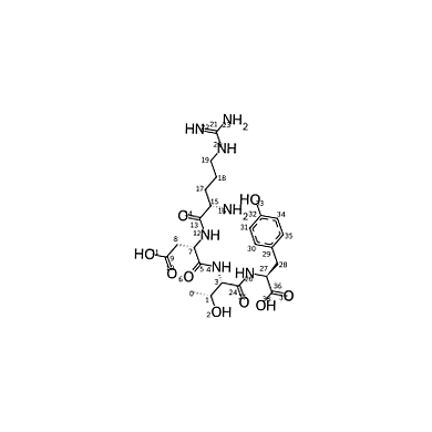 C[C@@H](O)[C@H](NC(=O)[C@H](CC(=O)O)NC(=O)[C@@H](N)CCCNC(=N)N)C(=O)N[C@@H](Cc1ccc(O)cc1)C(=O)O